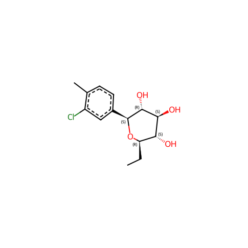 CC[C@H]1O[C@@H](c2ccc(C)c(Cl)c2)[C@H](O)[C@@H](O)[C@@H]1O